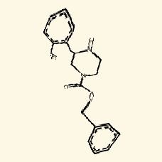 CC(C)c1ccccc1C1CN(C(=O)OCc2ccccc2)CCN1